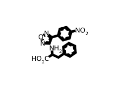 NC(Cc1ccccc1)C(=O)O.O=[N+]([O-])c1ccc(-c2cnon2)cc1